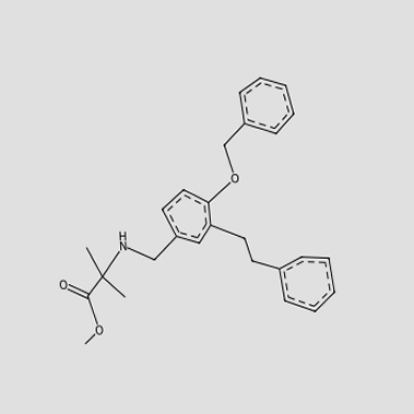 COC(=O)C(C)(C)NCc1ccc(OCc2ccccc2)c(CCc2ccccc2)c1